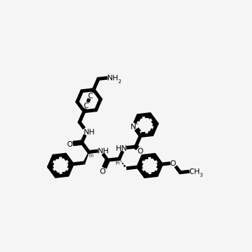 CCOc1ccc(C[C@@H](NC(=O)c2ccccn2)C(=O)N[C@@H](Cc2ccccc2)C(=O)NCC23CCC(CN)(CC2)CC3)cc1